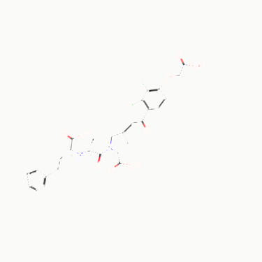 C[C@H](N[C@@H](CCc1ccccc1)C(=O)O)C(=O)N1CC(=CC(=O)c2ccc(OCC(=O)O)c(Cl)c2Cl)C[C@H]1C(=O)O